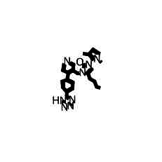 CCCCc1cn(-c2c(C)ccn2C)c(=O)n1Cc1cnccc1-c1ccc(-c2nnn[nH]2)cc1